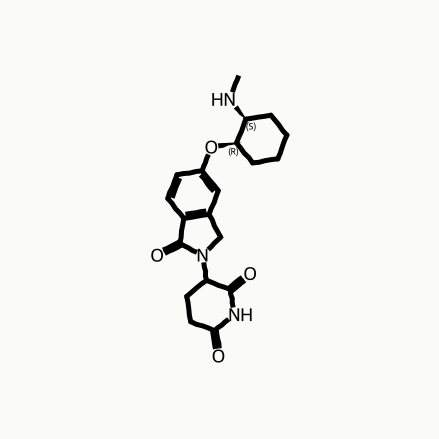 CN[C@H]1CCCC[C@H]1Oc1ccc2c(c1)CN(C1CCC(=O)NC1=O)C2=O